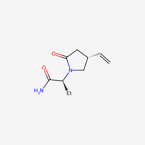 C=C[C@H]1CC(=O)N([C@@H](CC)C(N)=O)C1